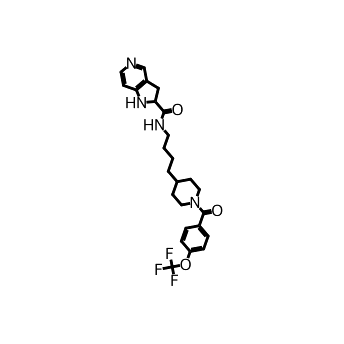 O=C(NCCCCC1CCN(C(=O)c2ccc(OC(F)(F)F)cc2)CC1)C1Cc2cnccc2N1